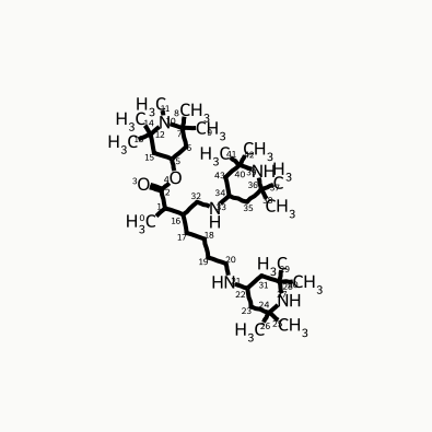 CC(C(=O)OC1CC(C)(C)N(C)C(C)(C)C1)C(CCCCNC1CC(C)(C)NC(C)(C)C1)CNC1CC(C)(C)NC(C)(C)C1